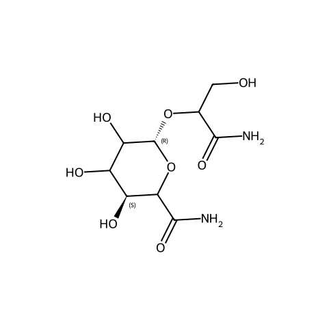 NC(=O)C(CO)O[C@@H]1OC(C(N)=O)[C@@H](O)C(O)C1O